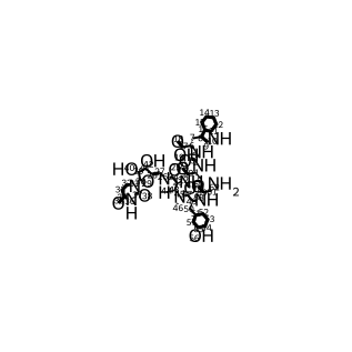 C[C@H](NC(=O)N[C@@H](Cc1c[nH]c2ccccc12)C(=O)O)C(=O)N[C@@H](C(=O)N/C=C1\OC(n2ccc(=O)[nH]c2=O)[C@H](O)[C@@H]1O)[C@H](C)N(C)C(=O)[C@H](Cc1cccc(O)c1)NC(=O)CN